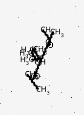 CCCCCCC(CCCC)COC(=O)CCCCCCCCC(CCCCCCCCC(=O)OCC(CCCC)CCCCCC)N(CCCCN(C)C)C(O)C(CC)CCCC